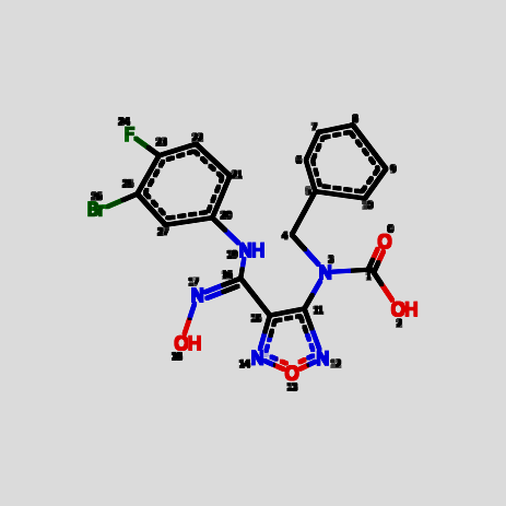 O=C(O)N(Cc1ccccc1)c1nonc1/C(=N\O)Nc1ccc(F)c(Br)c1